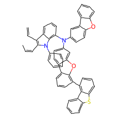 C=Cc1c(/C=C\C)n(-c2ccccc2)c2c(N(c3ccc4c(c3)oc3c(-c5cccc6sc7ccccc7c56)cccc34)c3ccc4oc5ccccc5c4c3)cccc12